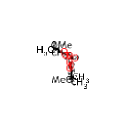 COC(C)(C)CCOOOC(=O)OOOCCC(C)(C)OC